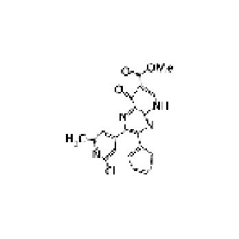 COC(=O)c1c[nH]c2nc(-c3ccccc3)c(-c3cc(C)nc(Cl)c3)nc2c1=O